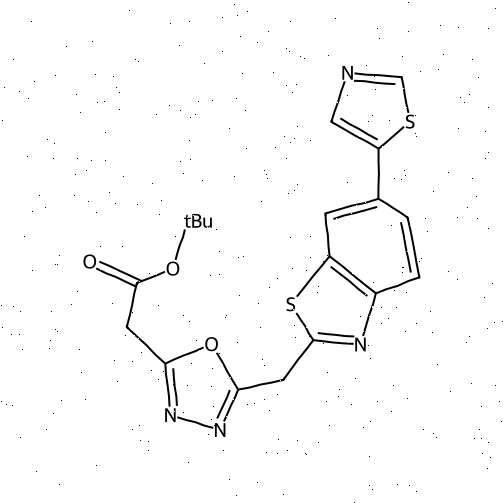 CC(C)(C)OC(=O)Cc1nnc(Cc2nc3ccc(-c4cncs4)cc3s2)o1